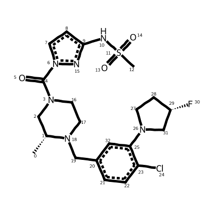 C[C@@H]1CN(C(=O)n2ccc(NS(C)(=O)=O)n2)CCN1Cc1ccc(Cl)c(N2CC[C@H](F)C2)c1